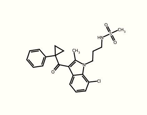 Cc1c(C(=O)C2(c3ccccc3)CC2)c2cccc(Cl)c2n1CCCNS(C)(=O)=O